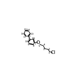 ClCCCCCOc1cccc(-c2ccccc2)c1